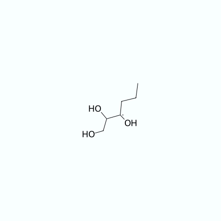 CCC[C](O)C(O)CO